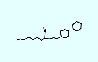 CCCCCCCC(C#N)CCC[C@H]1CC[C@H](C2CCCCC2)CC1